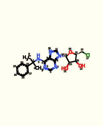 CC(C)(Nc1ncnc2c1ncn2[C@@H]1O[C@H](CCl)[C@@H](O)[C@H]1O)c1ccccc1